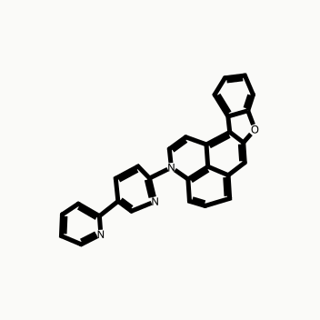 C1=CN(c2ccc(-c3ccccn3)cn2)c2cccc3cc4oc5ccccc5c4c1c23